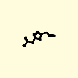 COCc1nnc(SC([O])=O)s1